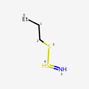 CCCCS[SH]=N